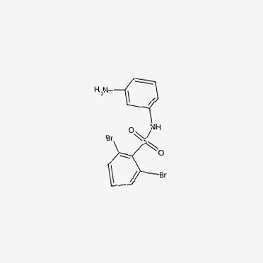 Nc1cccc(NS(=O)(=O)c2c(Br)cccc2Br)c1